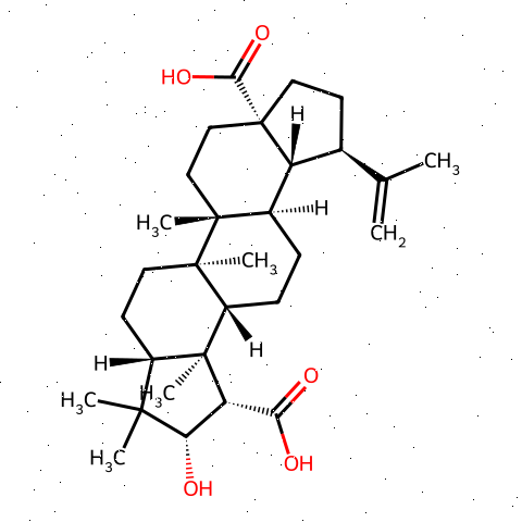 C=C(C)[C@@H]1CC[C@]2(C(=O)O)CC[C@]3(C)[C@H](CC[C@@H]4[C@@]5(C)[C@H](C(=O)O)[C@H](O)C(C)(C)[C@@H]5CC[C@]43C)[C@@H]12